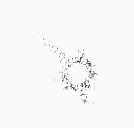 CCCCCOc1ccc(-c2ccc(-c3ccc(C(=O)N[C@H]4C[C@@H](O)[C@@H](OC[C@H]5CC[N+]5(C)C)NC(=O)[C@@H]5[C@@H](O)[C@@H](C)CN5C(=O)[C@H]([C@@H](C)O)NC(=O)[C@H]([C@H](O)[C@@H](O)c5ccc(O)cc5)NC(=O)[C@@H]5C[C@@H](O)CN5C(=O)[C@H]([C@@H](C)O)NC4=O)cc3)cc2)cc1